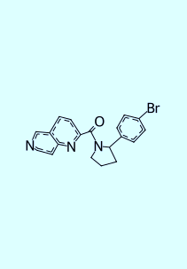 O=C(c1ccc2cnccc2n1)N1CCCC1c1ccc(Br)cc1